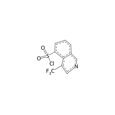 O=S(=O)(Cl)c1cccc2cncc(C(F)(F)F)c12